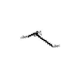 CCCCCCCCCCCCCCCCCCCCCCCCCCCC(=O)C(CCCCCCCC)(CCCCCCCCCCCCCCCC)C(=O)O